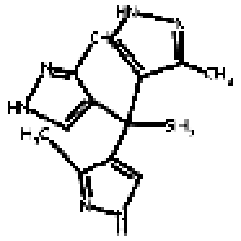 Cc1n[nH]cc1C([SiH3])(c1c[nH]nc1C)c1c[nH]nc1C